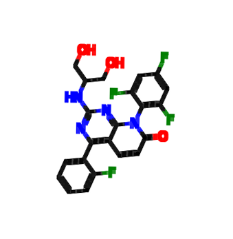 O=c1ccc2c(-c3ccccc3F)nc(NC(CO)CO)nc2n1-c1c(F)cc(F)cc1F